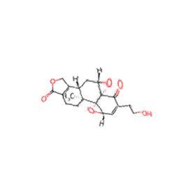 C[C@]12CCC3=C(COC3=O)[C@@H]1C[C@@H]1O[C@@]13C(=O)C(CCO)=C[C@@H]1O[C@]123